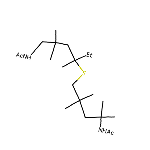 CCC(C)(CC(C)(C)CNC(C)=O)SCC(C)(C)CC(C)(C)NC(C)=O